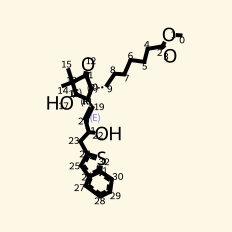 COC(=O)CCCCCC[C@H]1C(=O)C(C)(C)[C@@H](O)[C@@H]1/C=C/C(O)Cc1cc2ccccc2s1